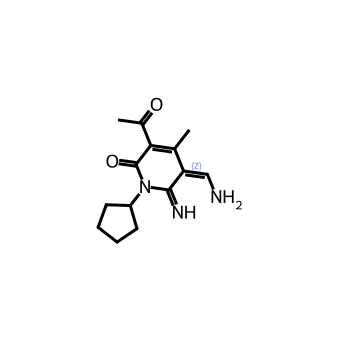 CC(=O)C1=C(C)/C(=C/N)C(=N)N(C2CCCC2)C1=O